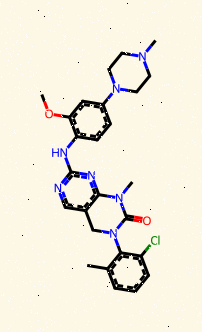 COc1cc(N2CCN(C)CC2)ccc1Nc1ncc2c(n1)N(C)C(=O)N(c1c(C)cccc1Cl)C2